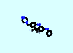 CC1(C)c2ccc(Nc3ccccc3)cc2Nc2ccc(CN3CCNCC3)cc21